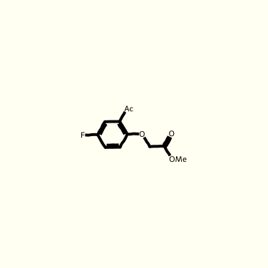 COC(=O)COc1ccc(F)cc1C(C)=O